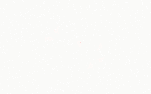 COc1ccc(C2CCC2C(=O)c2cc(OC)c(OC)c(OC)c2)cc1O